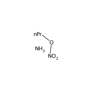 CCCO[N+](=O)[O-].N